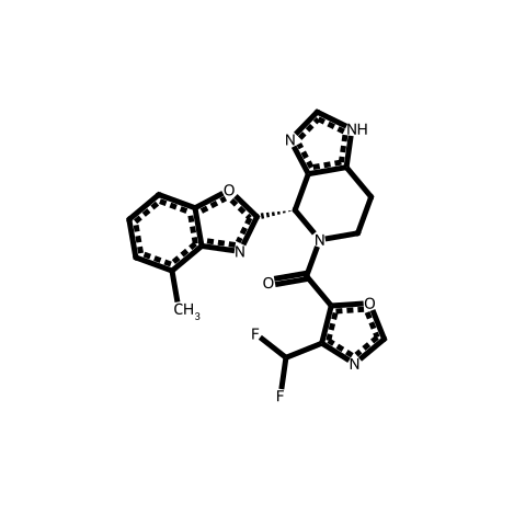 Cc1cccc2oc([C@@H]3c4nc[nH]c4CCN3C(=O)c3ocnc3C(F)F)nc12